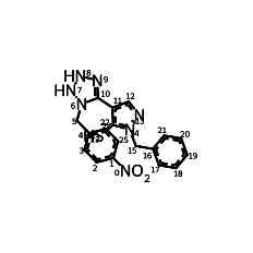 O=[N+]([O-])c1ccc(CN2NNN=C2c2cnn(Cc3ccccc3)c2S)cc1